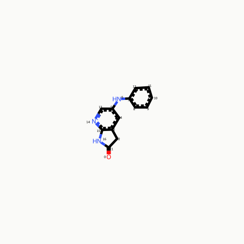 O=C1Cc2cc(Nc3ccccc3)cnc2N1